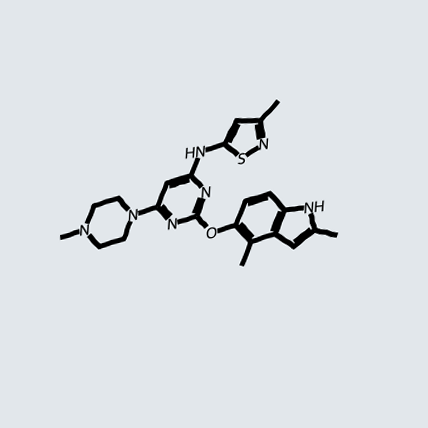 Cc1cc(Nc2cc(N3CCN(C)CC3)nc(Oc3ccc4[nH]c(C)cc4c3C)n2)sn1